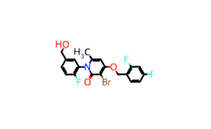 Cc1cc(OCc2ccc(F)cc2F)c(Br)c(=O)n1-c1cc(CO)ccc1F